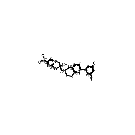 CC1(CN2CCc3nc(-c4cc(F)cc(Cl)c4)ccc3C2)Cn2cc([N+](=O)[O-])nc2O1